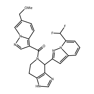 COCc1ccc2c(C(=O)N3CCc4[nH]cnc4C3c3cc4cccc(C(F)F)n4n3)cnn2c1